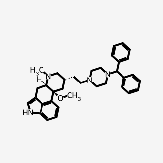 CO[C@]12C[C@@H](CCN3CCN(C(c4ccccc4)c4ccccc4)CC3)CN(C)[C@@H]1Cc1c[nH]c3cccc2c13